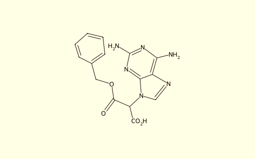 Nc1nc(N)c2ncn(C(C(=O)O)C(=O)OCc3ccccc3)c2n1